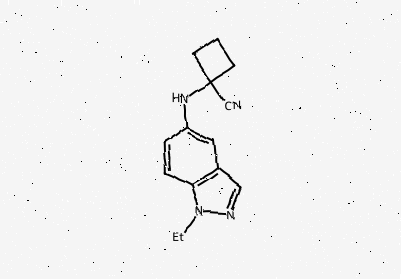 CCn1ncc2cc(NC3(C#N)CCC3)ccc21